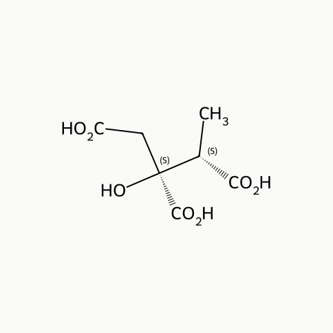 C[C@H](C(=O)O)[C@@](O)(CC(=O)O)C(=O)O